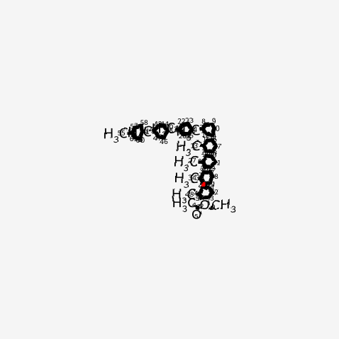 CCOC(C)=O.Cc1ccccc1.Cc1ccccc1.Cc1ccccc1.Cc1ccccc1.Cc1ccccc1.Cc1ccccc1.Cc1ccccc1.Cc1ccccc1